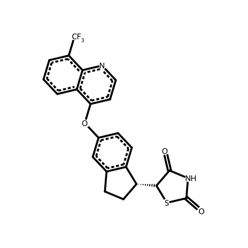 O=C1NC(=O)C([C@@H]2CCc3cc(Oc4ccnc5c(C(F)(F)F)cccc45)ccc32)S1